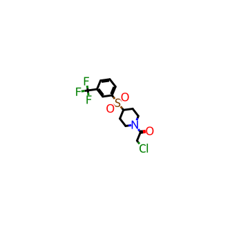 O=C(CCl)N1CCC(S(=O)(=O)c2cccc(C(F)(F)F)c2)CC1